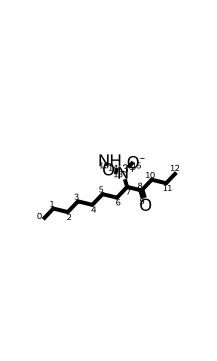 CCCCCCCC(C(=O)CCC)[N+](=O)[O-].N